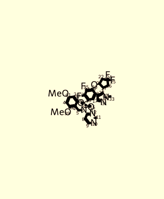 COc1ccc(CN(c2ccncn2)S(=O)(=O)c2ccc(O[C@H]3CC(F)(F)C[C@@H]3c3ccnn3C)c(F)c2F)c(OC)c1